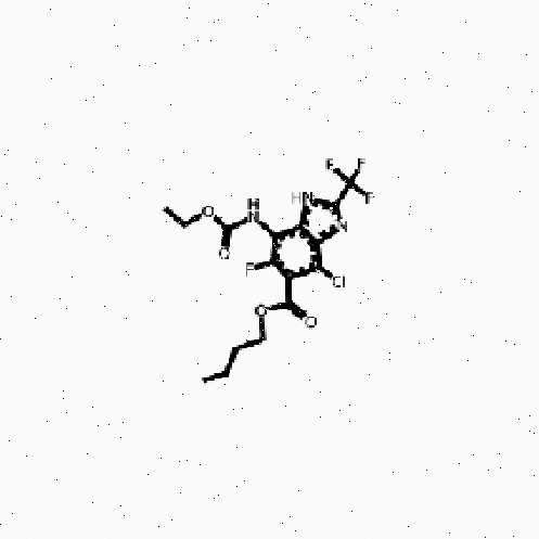 CCCCOC(=O)c1c(F)c(NC(=O)OCC)c2[nH]c(C(F)(F)F)nc2c1Cl